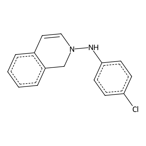 Clc1ccc(NN2C=Cc3ccccc3C2)cc1